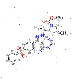 CC1CC(C(C)n2nc(-c3ccc(S(=O)(=O)c4ccccc4)cc3)c3c(N)ncnc32)N(C(=O)OC(C)(C)C)C1